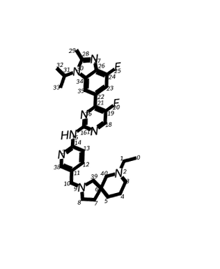 CCN1CCCC2(CCN(Cc3ccc(Nc4ncc(F)c(-c5cc(F)c6nc(C)n(C(C)C)c6c5)n4)nc3)C2)C1